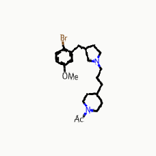 COc1ccc(Br)c(CC2CCN(CCCC3CCN(C(C)=O)CC3)C2)c1